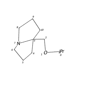 CC(C)OCC12CCCN1CCC2